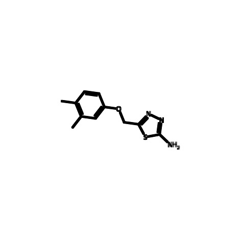 Cc1ccc(OCc2nnc(N)s2)cc1C